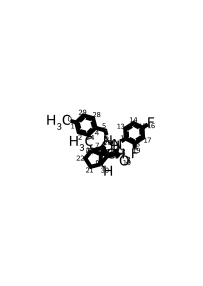 Cc1ccc(Cn2c3c(c(=O)n2-c2ccc(F)cc2F)[C@H]2CC[C@]3(C)C2(C)C)cc1